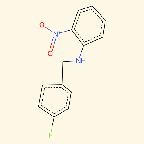 O=[N+]([O-])c1ccccc1NCc1ccc(F)cc1